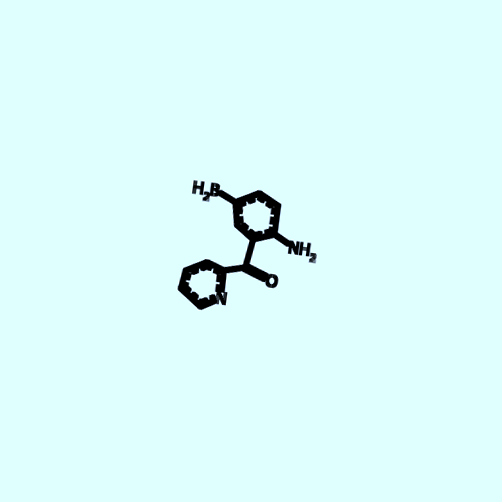 Bc1ccc(N)c(C(=O)c2ccccn2)c1